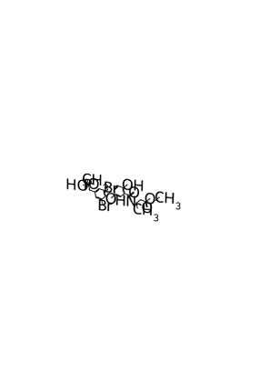 CCOC(=O)CC(C)NC(=O)c1cc(Oc2c(Br)cc(CP(C)(=O)O)cc2Br)ccc1O